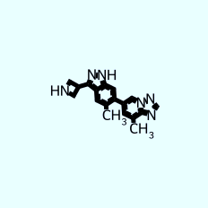 Cc1cc2c(C3CNC3)n[nH]c2cc1-c1cc(C)c2ncnn2c1